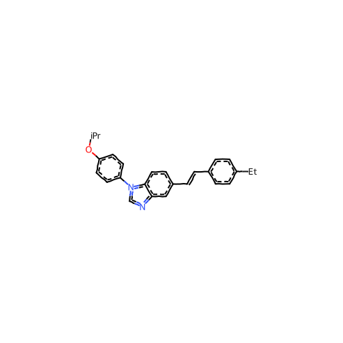 CCc1ccc(/C=C/c2ccc3c(c2)ncn3-c2ccc(OC(C)C)cc2)cc1